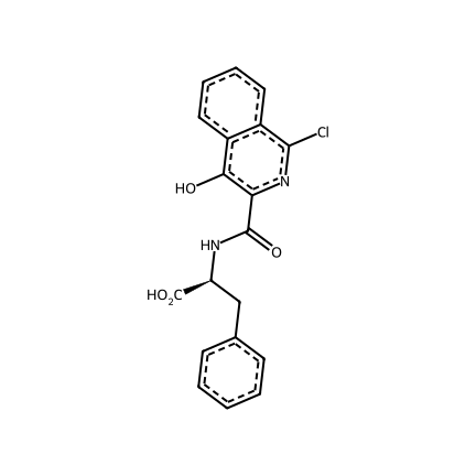 O=C(N[C@@H](Cc1ccccc1)C(=O)O)c1nc(Cl)c2ccccc2c1O